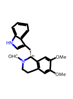 COc1cc2c(cc1OC)[C@@H](Cc1c[nH]c3ccccc13)N(C=O)CC2